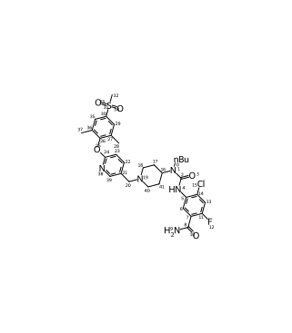 CCCCN(C(=O)Nc1cc(C(N)=O)c(F)cc1Cl)C1CCN(Cc2ccc(Oc3c(C)cc(S(C)(=O)=O)cc3C)nc2)CC1